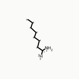 [2H]C(N)CCCCCCC